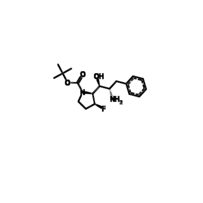 CC(C)(C)OC(=O)N1CC[C@H](F)[C@@H]1[C@@H](O)[C@@H](N)Cc1ccccc1